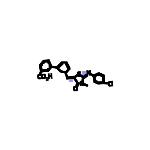 CN1C(=O)/C(=C/C2C=CC=C(c3cccc(C(=O)O)c3)C2)S/C1=N/c1ccc(Cl)cc1